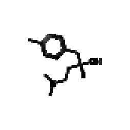 Cc1ccc(C[C@](C)(O)CCN(C)C)cc1